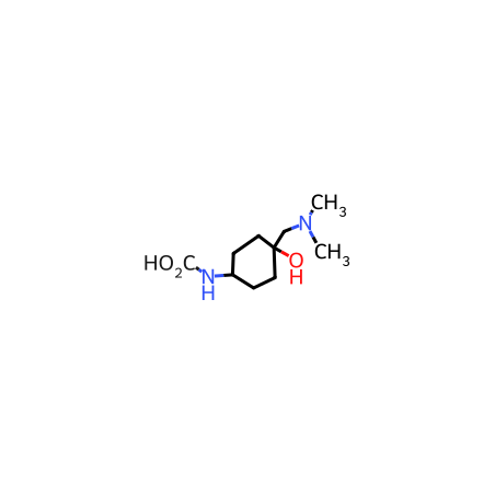 CN(C)CC1(O)CCC(NC(=O)O)CC1